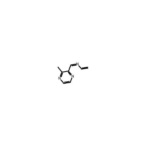 C=C/N=C\c1nccnc1C